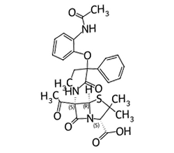 CCC(Oc1ccccc1NC(C)=O)(C(=O)N[C@@]1(C(C)=O)C(=O)N2[C@@H](C(=O)O)C(C)(C)S[C@@H]21)c1ccccc1